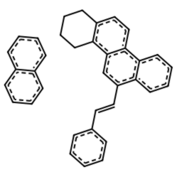 C(=Cc1cc2c3c(ccc2c2ccccc12)CCCC3)c1ccccc1.c1ccc2ccccc2c1